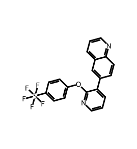 FS(F)(F)(F)(F)c1ccc(Oc2ncccc2-c2ccc3ncccc3c2)cc1